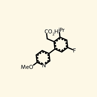 COc1ccc(-c2cc(F)cc(C(C)C)c2CC(=O)O)cn1